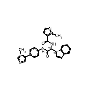 Cn1cncc1-c1ccc(NC(=O)[C@@H](NC(=O)c2ccnn2C)[C@H]2C=Cc3ccccc32)cc1